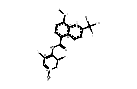 COc1ccc(C(=O)NC2=C(Cl)C=[N+](O)CC2Cl)c2ccc(C(F)(F)F)nc12